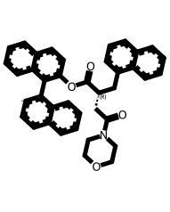 O=C(Oc1ccc2ccccc2c1-c1[c]ccc2ccccc12)[C@@H](CC(=O)N1CCOCC1)Cc1cccc2ccccc12